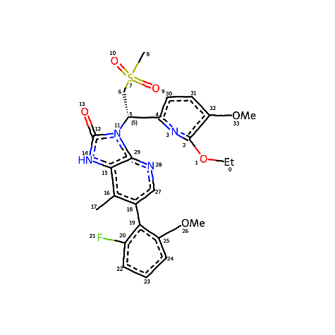 CCOc1nc([C@@H](CS(C)(=O)=O)n2c(=O)[nH]c3c(C)c(-c4c(F)cccc4OC)cnc32)ccc1OC